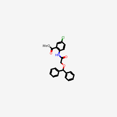 COC(=O)c1cc(Cl)ccc1NC(=O)COC(c1ccccc1)c1ccccc1